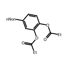 CCCCCCCCCc1ccc(OC(=O)CC)c(OC(=O)CC)c1